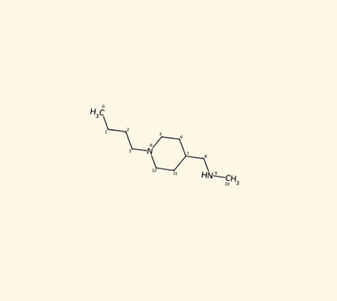 CCCCN1CCC(CNC)CC1